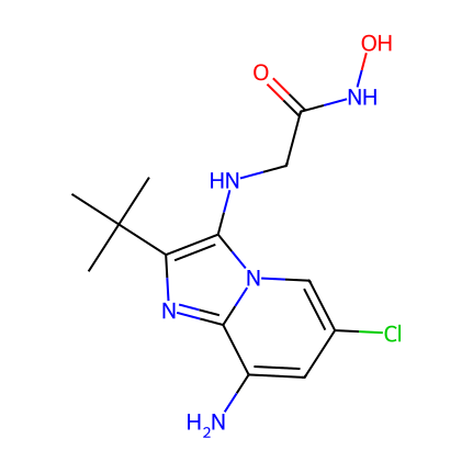 CC(C)(C)c1nc2c(N)cc(Cl)cn2c1NCC(=O)NO